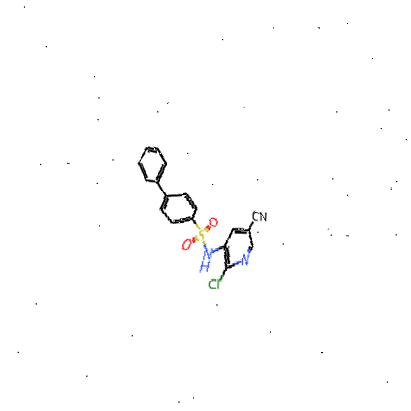 N#Cc1cnc(Cl)c(NS(=O)(=O)c2ccc(-c3ccccc3)cc2)c1